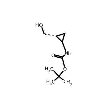 CC(C)(C)OC(=O)NC1C[C@H]1CO